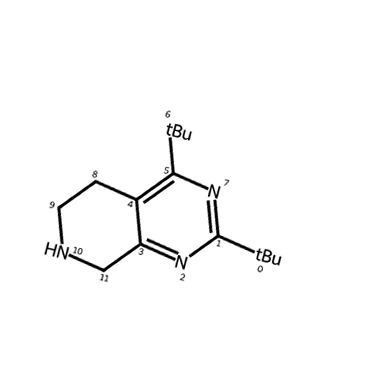 CC(C)(C)c1nc2c(c(C(C)(C)C)n1)CCNC2